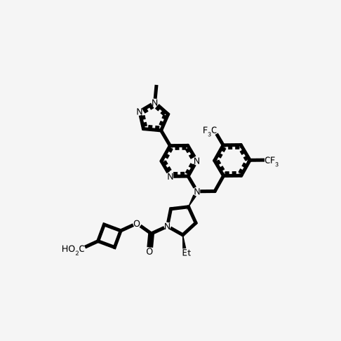 CC[C@@H]1C[C@H](N(Cc2cc(C(F)(F)F)cc(C(F)(F)F)c2)c2ncc(-c3cnn(C)c3)cn2)CN1C(=O)OC1CC(C(=O)O)C1